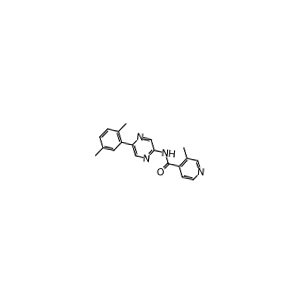 Cc1ccc(C)c(-c2cnc(NC(=O)c3ccncc3C)cn2)c1